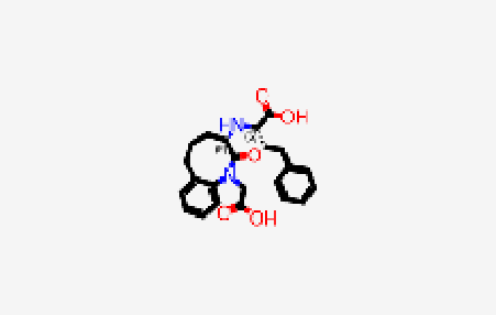 O=C(O)CN1C(=O)[C@H](N[C@@H](CCc2ccccc2)C(=O)O)CCCc2ccccc21